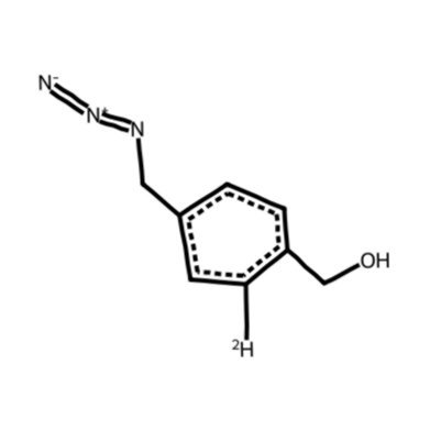 [2H]c1cc(CN=[N+]=[N-])ccc1CO